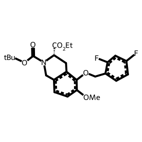 CCOC(=O)[C@@H]1Cc2c(ccc(OC)c2OCc2ccc(F)cc2F)CN1C(=O)OC(C)(C)C